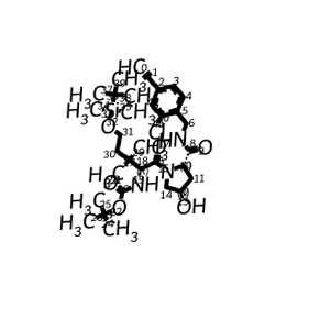 C#Cc1ccc(CNC(=O)[C@@H]2C[C@@H](O)CN2C(=O)[C@H](NC(=O)OC(C)(C)C)C(C)(C)CCO[Si](C)(C)C(C)(C)C)c(Cl)c1